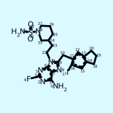 Nc1nc(F)nc2c1nc(Cc1cc3c(cc1I)CCC3)n2CCC1CCCN(S(N)(=O)=O)C1